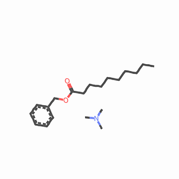 CCCCCCCCCC(=O)OCc1ccccc1.CN(C)C